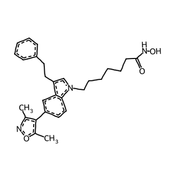 Cc1noc(C)c1-c1ccc2c(c1)c(CCc1ccccc1)cn2CCCCCCC(=O)NO